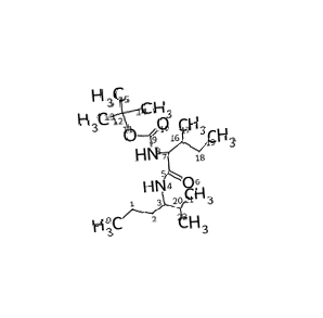 CCCC(NC(=O)C(NC(=O)OC(C)(C)C)C(C)CC)C(C)C